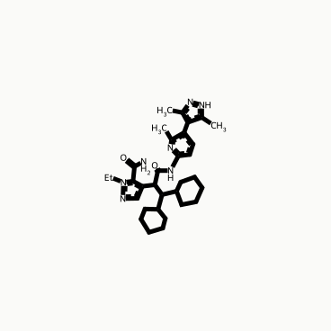 CCn1ncc(C(C(=O)Nc2ccc(-c3c(C)n[nH]c3C)c(C)n2)C(C2CCCCC2)C2CCCCC2)c1C(N)=O